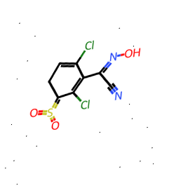 N#CC(=NO)C1=C(Cl)C(=S(=O)=O)CC=C1Cl